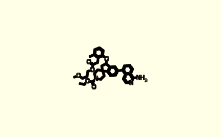 CCOC(=O)N1CCC2(CC1)CC(Oc1cccc(C)c1CC(=O)OCCCOC)c1cc(-c3cccc4c(N)nccc34)ccc12